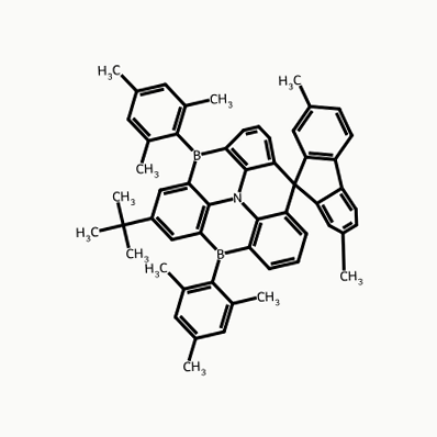 Cc1cc(C)c(B2c3cc(C(C)(C)C)cc4c3N3c5c2cccc5C2(c5cc(C)ccc5-c5ccc(C)cc52)c2cccc(c23)B4c2c(C)cc(C)cc2C)c(C)c1